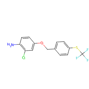 Nc1ccc(OCc2ccc(SC(F)(F)F)cc2)cc1Cl